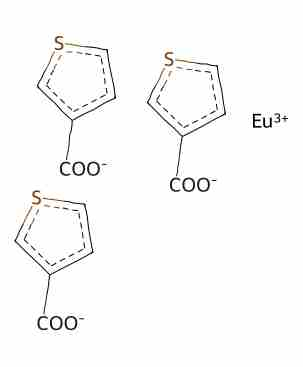 O=C([O-])c1ccsc1.O=C([O-])c1ccsc1.O=C([O-])c1ccsc1.[Eu+3]